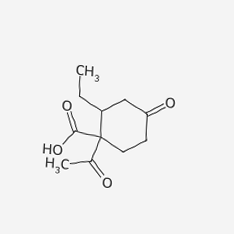 CCC1CC(=O)CCC1(C(C)=O)C(=O)O